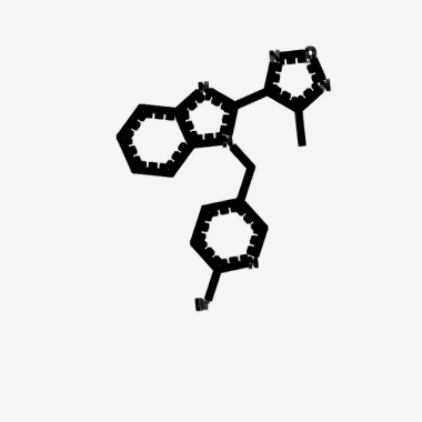 Cc1nonc1-c1nc2ccccc2n1Cc1ccc(Br)nc1